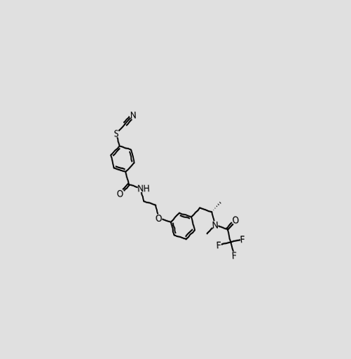 C[C@@H](Cc1cccc(OCCNC(=O)c2ccc(SC#N)cc2)c1)N(C)C(=O)C(F)(F)F